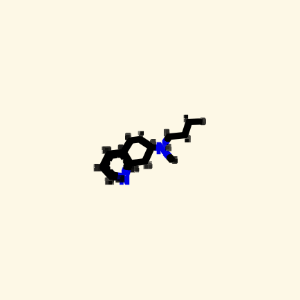 CCCCN(C)C1CCc2cccnc2C1